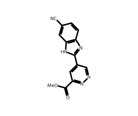 COC(=O)c1cc(-c2nc3ccc(C#N)cc3[nH]2)cnn1